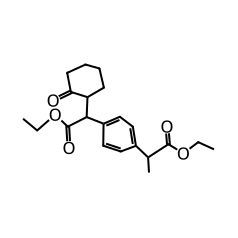 CCOC(=O)C(C)c1ccc(C(C(=O)OCC)C2CCCCC2=O)cc1